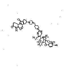 Cc1nc(N2CCC(CN3CCN(c4ccc5c(c4)C(=O)N(C4CCC(=O)NC4=O)C5=O)CC3)CC2)ncc1C(=O)NC1C(C)(C)C(Oc2ccc(C#N)c(Cl)c2)C1(C)C